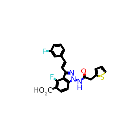 O=C(Cc1cccs1)Nn1nc(C=Cc2cccc(F)c2)c2c(F)c(C(=O)O)ccc21